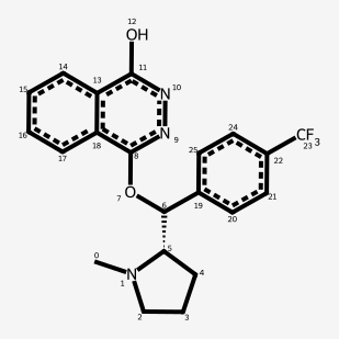 CN1CCC[C@H]1C(Oc1nnc(O)c2ccccc12)c1ccc(C(F)(F)F)cc1